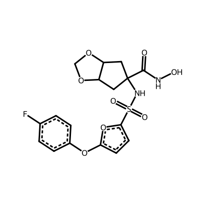 O=C(NO)C1(NS(=O)(=O)c2ccc(Oc3ccc(F)cc3)o2)CC2OCOC2C1